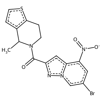 CC1c2ccsc2CCN1C(=O)c1cc2c([N+](=O)[O-])cc(Br)cn2n1